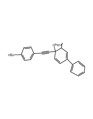 CCCCCC1(C#Cc2ccc(CCCC)cc2)C=CC(c2ccccc2)=CC1C